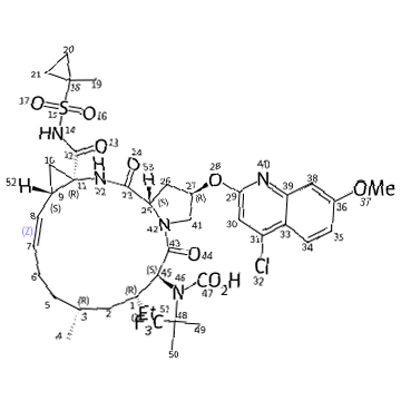 CC[C@@H]1C[C@H](C)CC/C=C\[C@@H]2C[C@@]2(C(=O)NS(=O)(=O)C2(C)CC2)NC(=O)[C@@H]2C[C@@H](Oc3cc(Cl)c4ccc(OC)cc4n3)CN2C(=O)[C@H]1N(C(=O)O)C(C)(C)C(F)(F)F